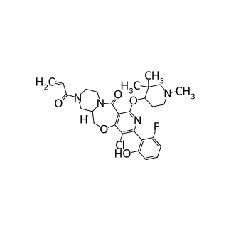 C=CC(=O)N1CCN2C(=O)c3c(OC4CCN(C)CC4(C)C)nc(-c4c(O)cccc4F)c(Cl)c3OC[C@H]2C1